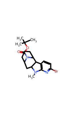 CN1c2nc(Br)ccc2C2C1CC1CCCC2N1C(=O)OC(C)(C)C